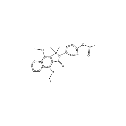 CCOc1c2c(c(OCC)c3ccccc13)C(C)(C)N(c1ccc(OC(C)=O)cc1)C2=O